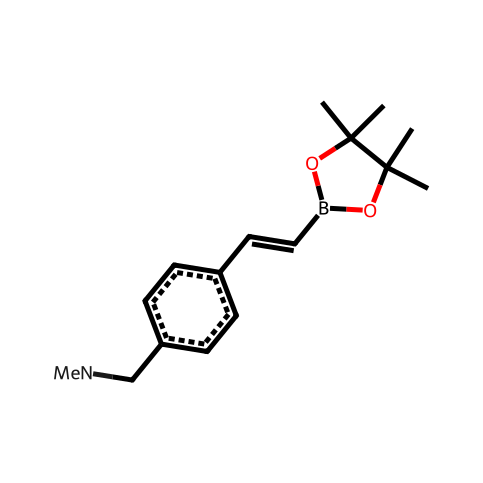 CNCc1ccc(C=CB2OC(C)(C)C(C)(C)O2)cc1